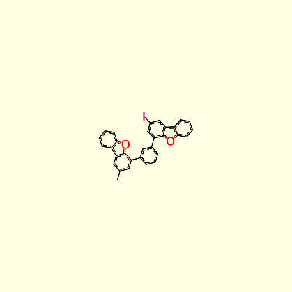 Cc1cc(-c2cccc(-c3cc(I)cc4c3oc3ccccc34)c2)c2oc3ccccc3c2c1